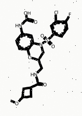 COC1CC(C(=O)NCC2CN(S(=O)(=O)c3ccc(F)c(Cl)c3)c3cc(NC(=O)O)ccc3O2)C1